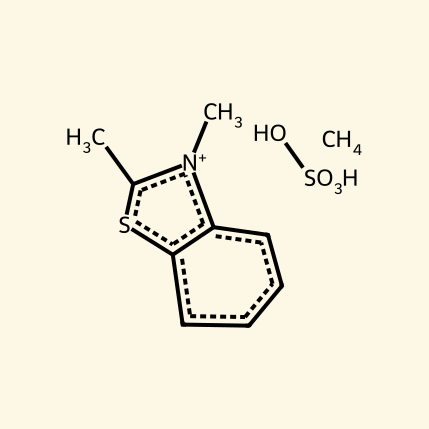 C.Cc1sc2ccccc2[n+]1C.O=S(=O)(O)O